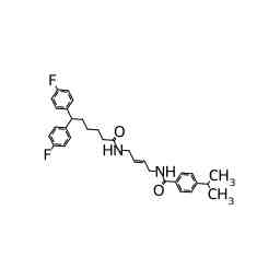 CC(C)c1ccc(C(=O)NCC=CCNC(=O)CCCCC(c2ccc(F)cc2)c2ccc(F)cc2)cc1